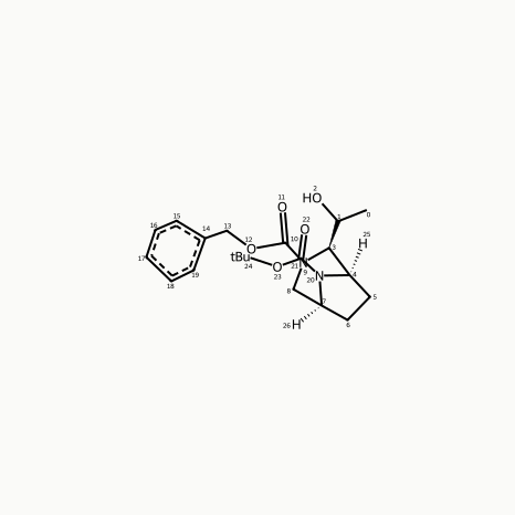 CC(O)[C@H]1[C@H]2CC[C@@H](CN1C(=O)OCc1ccccc1)N2C(=O)OC(C)(C)C